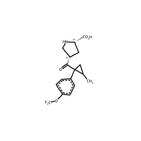 CC1CC1(C(=O)[C@@H]1CN[C@H](C(=O)O)C1)c1ccc(OC(F)(F)F)cc1